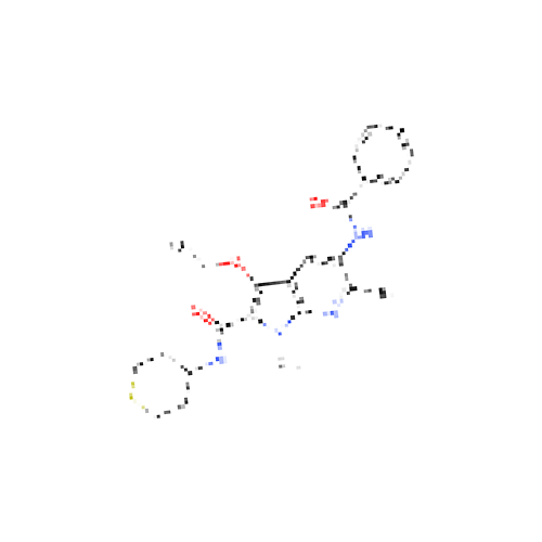 CCc1nc2c(cc1NC(=O)c1ccccc1)c(OCC(F)(F)F)c(C(=O)NC1CCSCC1)n2C